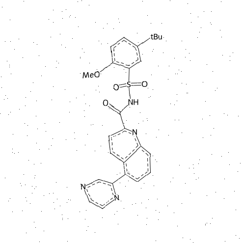 COc1ccc(C(C)(C)C)cc1S(=O)(=O)NC(=O)c1ccc2c(-c3cnccn3)cccc2n1